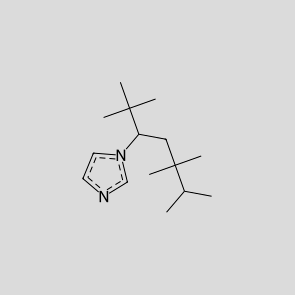 CC(C)C(C)(C)CC(n1ccnc1)C(C)(C)C